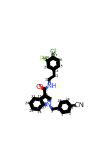 N#Cc1ccc(Cn2cc(C(=O)NCCc3ccc(Cl)c(F)c3)c3ccccc32)cc1